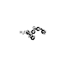 Cc1cc(-c2nc3cccnc3n2C2CCN(C(=O)C3CCN(Cc4ccnnc4)CC3)CC2)no1